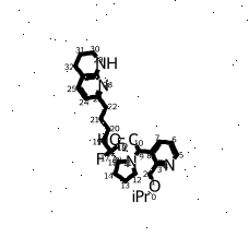 CC(C)OCc1ncccc1C(C(=O)O)N1CCC[C@@H]1C(F)(F)CCCCc1ccc2c(n1)NCCC2